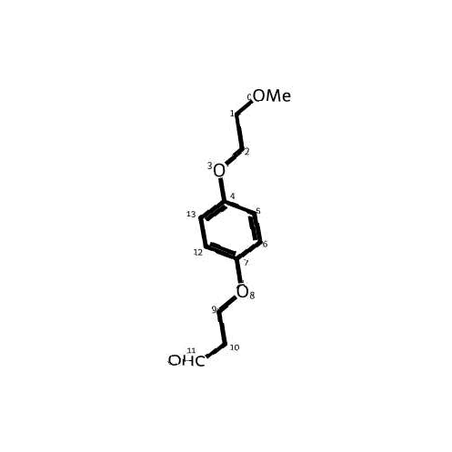 COCCOc1ccc(OCCC=O)cc1